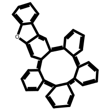 c1ccc2c(c1)oc1cc3c4ccccc4c4ccccc4c4ccccc4c4ccccc4c3cc12